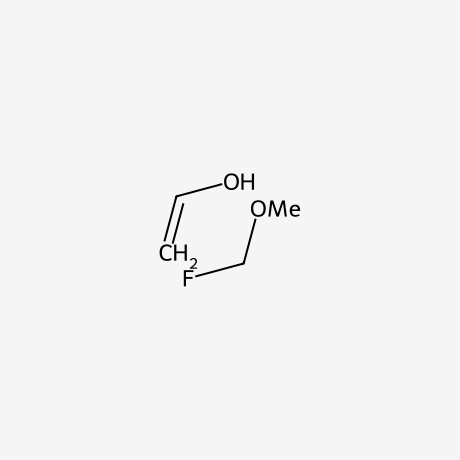 C=CO.COCF